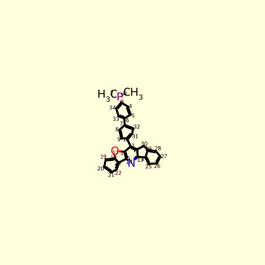 CP(C)c1ccc(-c2ccc(-c3c4c(nc5c3oc3ccccc35)-c3ccccc3C4)cc2)cc1